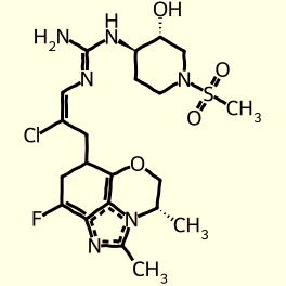 Cc1nc2c3n1[C@@H](C)COC=3C(C/C(Cl)=C\N=C(/N)N[C@@H]1CCN(S(C)(=O)=O)C[C@H]1O)CC=2F